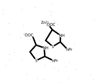 CCCC1NC(C(=O)[O-])CS1.CCCC1NC(C(=O)[O-])CS1.[Zn+2]